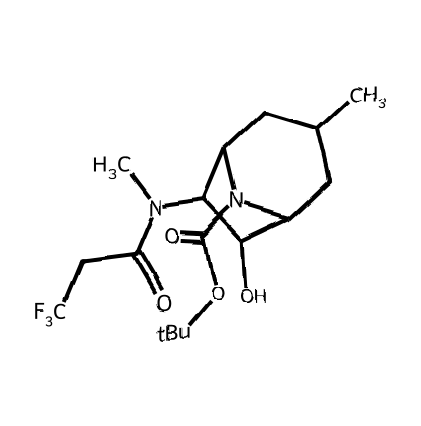 CC1CC2C(O)C(N(C)C(=O)CC(F)(F)F)C(C1)N2C(=O)OC(C)(C)C